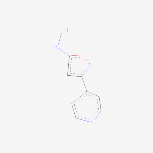 O=CNc1cc(-c2ccncc2)no1